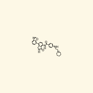 O=C(Nc1ccc(-c2cccc3ncoc23)c2c1C(=O)NC2)c1ccc(NCCN2CCCCC2)cc1